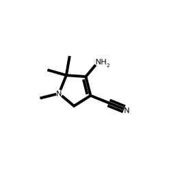 CN1CC(C#N)=C(N)C1(C)C